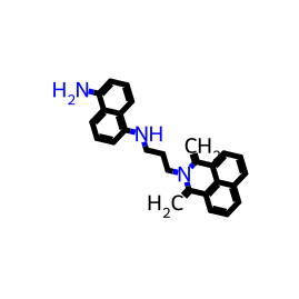 C=C1c2cccc3cccc(c23)C(=C)N1CCCNc1cccc2c(N)cccc12